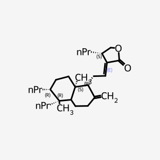 C=C1CCC2[C@](C)(CCC)[C@H](CCC)CC[C@@]2(C)[C@@H]1C/C=C1/C(=O)OC[C@H]1CCC